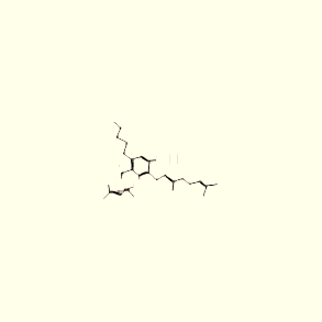 CCCCCc1cc(O)c(C/C=C(\C)CCC=C(C)C)c2c1C(=O)OC(C)(C=C(C)C)O2